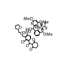 COCc1cccc(C(O)c2nc(OC)cc(OC)n2)c1NS(=O)(=O)C(F)F.CS(=O)(=O)c1ccc(C(=O)C2C(=O)CCCC2=O)c(Cl)c1COCC1CCCO1